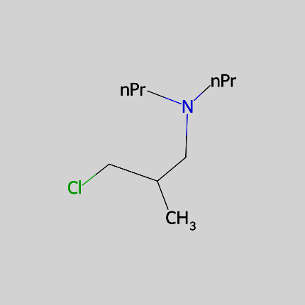 CCCN(CCC)CC(C)CCl